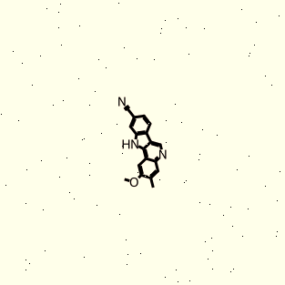 COc1cc2c(cc1C)ncc1c3ccc(C#N)cc3[nH]c21